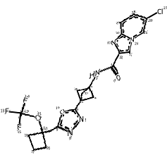 O=C(NC12CC(c3nnc(C4(OC(F)(F)F)CCC4)o3)(C1)C2)c1cn2cc(Cl)ccc2n1